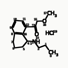 CCCNC1CCCc2cccc(C(=O)COC)c21.Cl